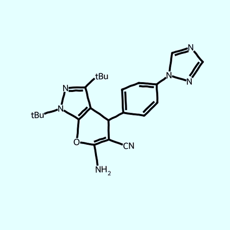 CC(C)(C)c1nn(C(C)(C)C)c2c1C(c1ccc(-n3cncn3)cc1)C(C#N)=C(N)O2